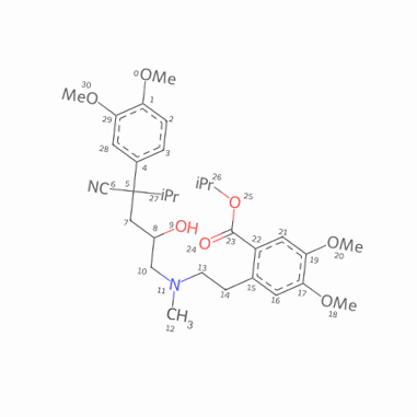 COc1ccc(C(C#N)(CC(O)CN(C)CCc2cc(OC)c(OC)cc2C(=O)OC(C)C)C(C)C)cc1OC